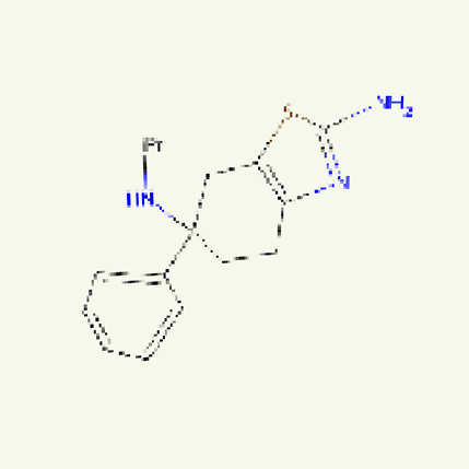 CC(C)NC1(c2ccccc2)CCc2nc(N)sc2C1